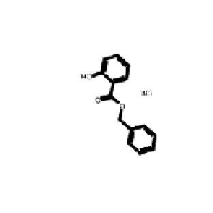 Cl.O=C(OCc1ccccc1)c1ccccc1O